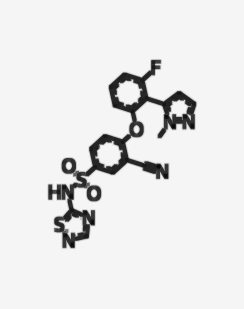 Cn1nccc1-c1c(F)cccc1Oc1ccc(S(=O)(=O)Nc2ncns2)cc1C#N